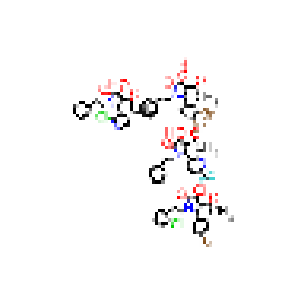 CC(=O)C1=C(O)C(=O)N(CCc2ccccc2)C1c1ccc(Br)c(Br)c1.CC(=O)C1=C(O)C(=O)N(CCc2ccccc2)C1c1ccc(C(F)(F)F)nc1.CC(=O)C1=C(O)C(=O)N(CCc2ccccc2)C1c1cccnc1Cl.CC(=O)C1=C(O)C(=O)N(CCc2ccccc2Cl)C1c1ccc(Br)cc1